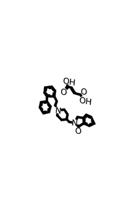 O=C(O)/C=C/C(=O)O.O=C1c2ccccc2CN1CC1CCN(CCc2ccccc2-c2ccccc2)CC1